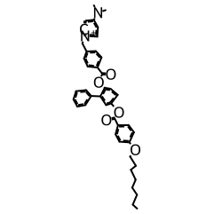 CCCCCCCCOc1ccc(C(=O)Oc2ccc(OC(=O)c3ccc(C[n+]4ccc(N(C)C)cc4)cc3)c(-c3ccccc3)c2)cc1